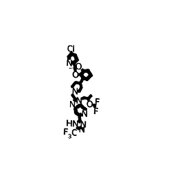 CC(Cn1c(CN2CCC(c3cccc4c3O[C@@](C)(c3ccc(Cl)cn3)O4)CC2)nc2cc(-c3nnc(C(F)(F)F)[nH]3)ncc21)OC(F)F